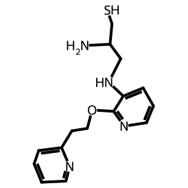 NC(CS)CNc1cccnc1OCCc1ccccn1